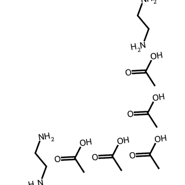 CC(=O)O.CC(=O)O.CC(=O)O.CC(=O)O.CC(=O)O.NCCN.NCCN